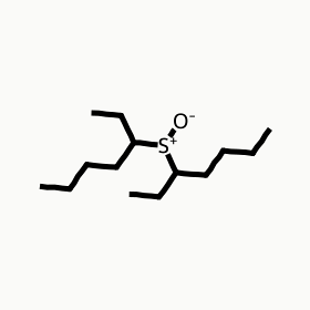 CCCCC(CC)[S+]([O-])C(CC)CCCC